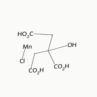 O=C(O)CC(O)(CC(=O)O)C(=O)O.[Cl][Mn]